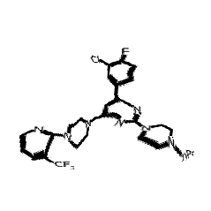 CCCN1CCN(c2nc(-c3ccc(F)c(Cl)c3)cc(N3CCN(c4ncccc4C(F)(F)F)CC3)n2)CC1